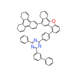 C1=Cc2c(c3c(c4cc(-c5cc6c(oc7cccc(-c8ccc(-c9nc(-c%10ccccc%10)nc(-c%10cccc(-c%11ccccc%11)c%10)n9)cc8)c76)c6c5CCC=C6)ccc24)C=CCC3)CC1